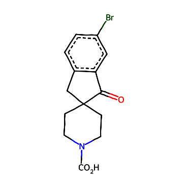 O=C(O)N1CCC2(CC1)Cc1ccc(Br)cc1C2=O